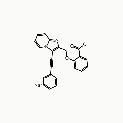 O=C([O-])c1ccccc1OCc1nc2ccccn2c1C#Cc1ccccc1.[Na+]